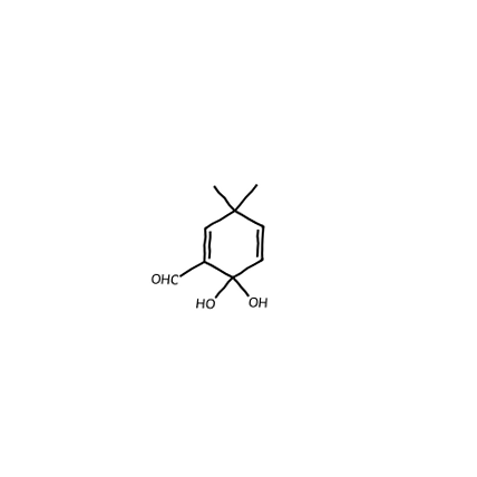 CC1(C)C=CC(O)(O)C(C=O)=C1